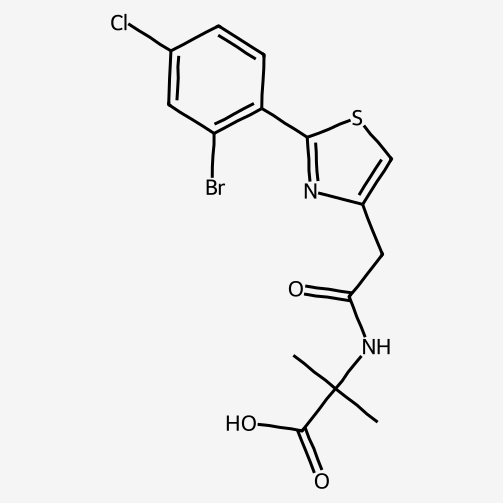 CC(C)(NC(=O)Cc1csc(-c2ccc(Cl)cc2Br)n1)C(=O)O